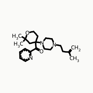 C=C(C)CCN1CCN(C2(C(=O)c3ccccn3)CCOC(C)(C)C2)CC1